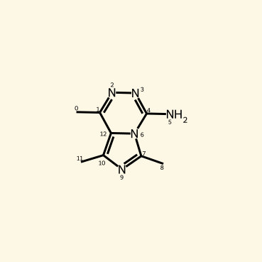 Cc1nnc(N)n2c(C)nc(C)c12